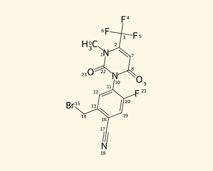 Cn1c(C(F)(F)F)cc(=O)n(-c2cc(CBr)c(C#N)cc2F)c1=O